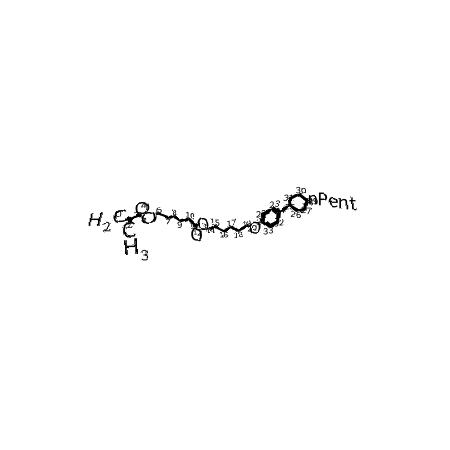 C=C(C)C(=O)OCCCCCC(=O)OCCCCCCOc1ccc(C2CCC(CCCCC)CC2)cc1